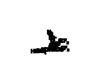 Cc1cc(N2CCNCC2)nc2ccc(NC(=O)C(Oc3ccc(OC(F)(F)F)cc3)C(Oc3ccc(OC(F)(F)F)cc3)C(=O)Nc3ccc4nc(N5CCN(C)CC5)cc(C)c4c3)cc12